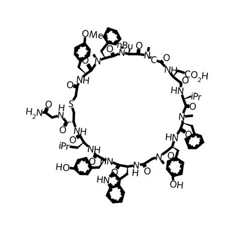 CCCC[C@H]1C(=O)N(C)CC(=O)N[C@@H](CC(=O)O)C(=O)N[C@@H](C(C)C)C(=O)N(C)[C@@H](Cc2ccccc2)C(=O)N[C@@H](Cc2ccc(O)cc2)C(=O)N(C)CC(=O)N[C@@H](Cc2c[nH]c3ccccc23)C(=O)N[C@@H](Cc2ccc(O)cc2)C(=O)N[C@@H](CC(C)C)C(=O)N[C@H](C(=O)NCC(N)=O)CSCC(=O)N[C@@H](Cc2ccc(OC)cc2)C(=O)N(C)[C@@H](Cc2ccccc2)C(=O)N1C